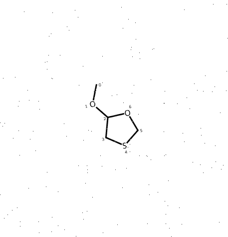 COC1CSCO1